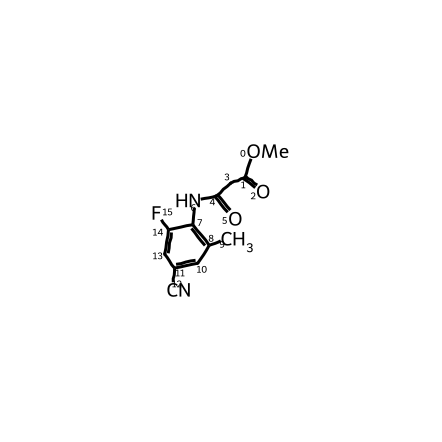 COC(=O)CC(=O)Nc1c(C)cc(C#N)cc1F